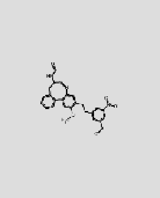 COc1cc2c(cc1CCc1cc(CCl)cc([N+](=O)[O-])c1)/N=C\C(NC=O)Cc1ccccc1-2